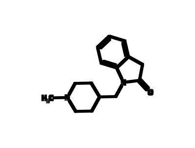 CN1CCC(CN2C(=O)Cc3ccccc32)CC1